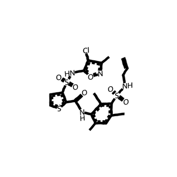 C=CCNS(=O)(=O)c1c(C)cc(C)c(NC(=O)c2sccc2S(=O)(=O)Nc2onc(C)c2Cl)c1C